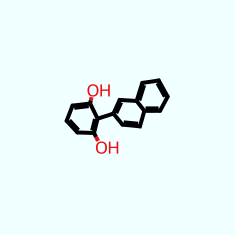 Oc1cccc(O)c1-c1ccc2ccccc2c1